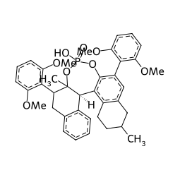 COc1cccc(OC)c1-c1cc2c(c3c1OP(=O)(O)OC1(C)C(c4c(OC)cccc4OC)Cc4ccccc4[C@H]31)CCC(C)C2